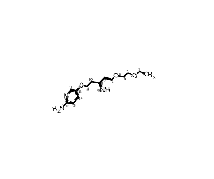 CCOCCO/C=C/C(=N)CCOc1ccc(N)nc1